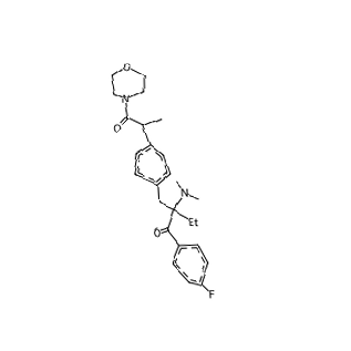 CCC(Cc1ccc(C(C)C(=O)N2CCOCC2)cc1)(C(=O)c1ccc(F)cc1)N(C)C